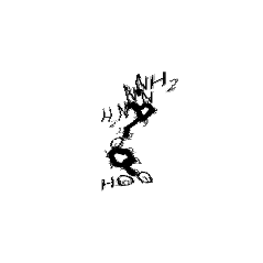 Nc1nc(N)c2c(n1)CCC2CCOc1ccc(C(=O)O)cc1